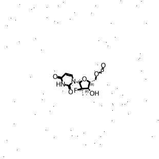 C[C@@]1(F)[C@H](O)[C@@H](COP=O)O[C@H]1n1ccc(=O)[nH]c1=O